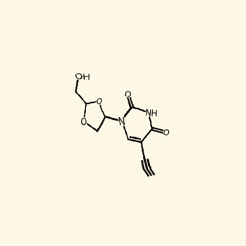 C#Cc1cn(C2COC(CO)O2)c(=O)[nH]c1=O